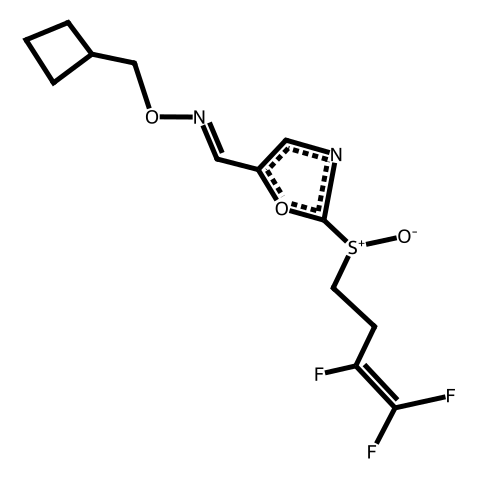 [O-][S+](CCC(F)=C(F)F)c1ncc(/C=N/OCC2CCC2)o1